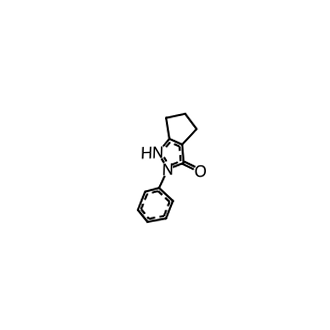 O=c1c2c([nH]n1-c1ccccc1)CCC2